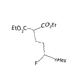 CCCCCCC(F)CCC(C(=O)OCC)C(=O)OCC